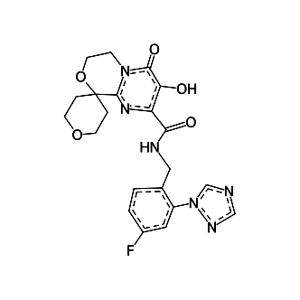 O=C(NCc1ccc(F)cc1-n1cncn1)c1nc2n(c(=O)c1O)CCOC21CCOCC1